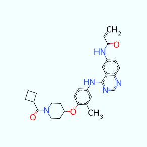 C=CC(=O)Nc1ccc2ncnc(Nc3ccc(OC4CCN(C(=O)C5CCC5)CC4)c(C)c3)c2c1